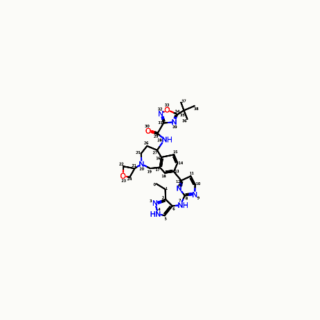 CCc1n[nH]cc1Nc1nccc(-c2ccc3c(c2)CN(C2COC2)CCC3NC(=O)c2noc(C(C)(C)C)n2)n1